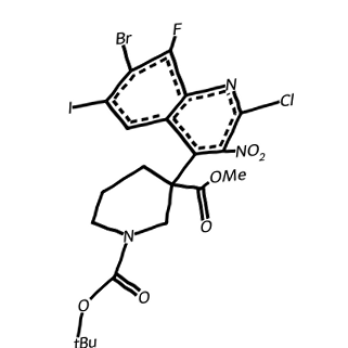 COC(=O)C1(c2c([N+](=O)[O-])c(Cl)nc3c(F)c(Br)c(I)cc23)CCCN(C(=O)OC(C)(C)C)C1